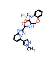 CN1C(=O)C(NC(=O)c2nc3cccc(-c4cnn(C)c4)n3n2)COc2ccccc21